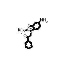 Nc1ccc2c(c1)s[c+](N)n2CC(=O)c1ccccc1.[Br-]